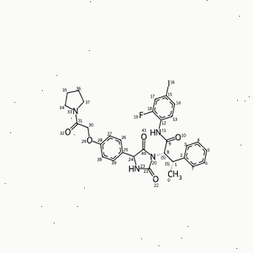 C[C@@H](c1ccccc1)[C@@H](C(=O)Nc1ccc(I)cc1F)N1C(=O)NC(c2ccc(OCC(=O)N3CCCC3)cc2)C1=O